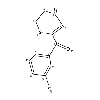 O=C(C1=CNCCS1)c1cccc(F)c1